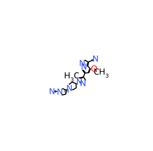 COc1cc(-c2cnn(C3CCN([C@H]4CCN(C#N)C4)CC3)c2C)cn2ncc(C#N)c12